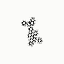 c1ccc(-c2cc(-c3ccc(-c4c5ccccc5c(-c5cc(-c6ccccc6)nc6c5ccc5cccnc56)c5ccccc45)cc3)c3ccc4cccnc4c3n2)cc1